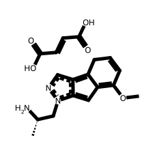 COC1=C2C=c3c(cnn3C[C@H](C)N)=C2CC=C1.O=C(O)C=CC(=O)O